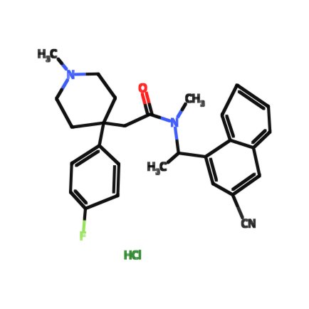 CC(c1cc(C#N)cc2ccccc12)N(C)C(=O)CC1(c2ccc(F)cc2)CCN(C)CC1.Cl